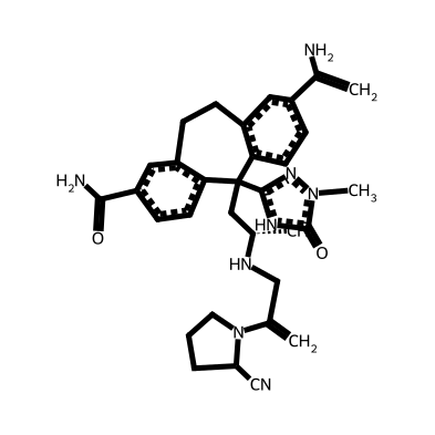 C=C(N)c1ccc2c(c1)CCc1cc(C(N)=O)ccc1C2(C[C@H](C)NCC(=C)N1CCCC1C#N)c1nn(C)c(=O)[nH]1